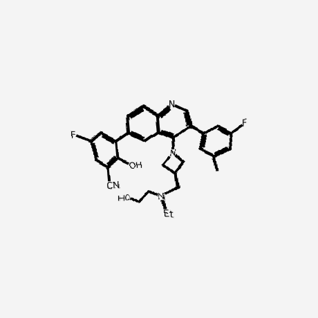 CCN(CCO)CC1CN(c2c(-c3cc(C)cc(F)c3)cnc3ccc(-c4cc(F)cc(C#N)c4O)cc23)C1